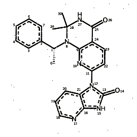 C[C@H](c1ccccc1)N1c2nc(-n3c(=O)[nH]c4ncccc43)ccc2C(=O)NC1(C)C